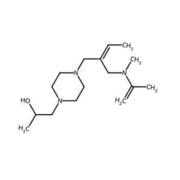 C=C(C)N(C)C/C(=C\C)CN1CCN(CC(C)O)CC1